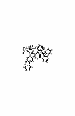 CC1(C)OB(C2CC3=C(CC2C2=CC4C(CC2)SC2C=CC=CC24)c2ccccc2C32c3ccccc3C3C=CC=CC32)OC1(C)C